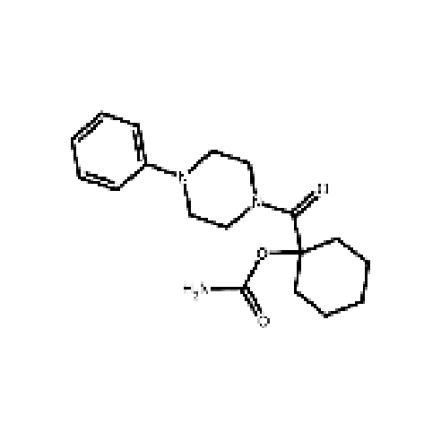 NC(=O)OC1(C(=O)N2CCN(c3ccccc3)CC2)CCCCC1